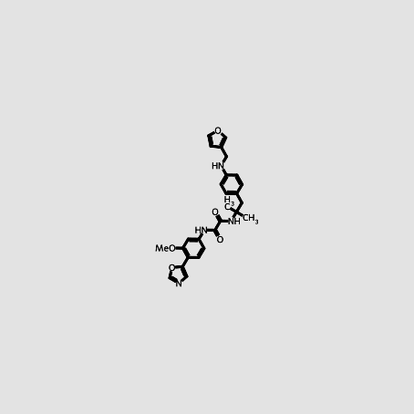 COc1cc(NC(=O)C(=O)NC(C)(C)Cc2ccc(NCc3ccoc3)cc2)ccc1-c1cnco1